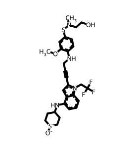 COc1cc(SN(C)CCO)ccc1NCC#Cc1cc2c(NC3CC[S+]([O-])CC3)cccc2n1CC(F)(F)F